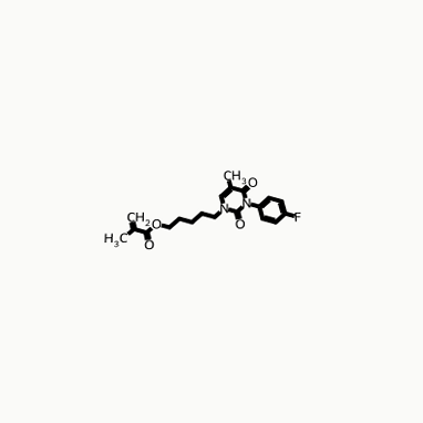 C=C(C)C(=O)OCCCCCn1cc(C)c(=O)n(-c2ccc(F)cc2)c1=O